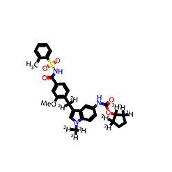 [2H]C([2H])(c1ccc(C(=O)NS(=O)(=O)c2ccccc2C)cc1OC)c1cn(C([2H])([2H])[2H])c2ccc(NC(=O)OC3([2H])C([2H])([2H])CCC3([2H])[2H])cc12